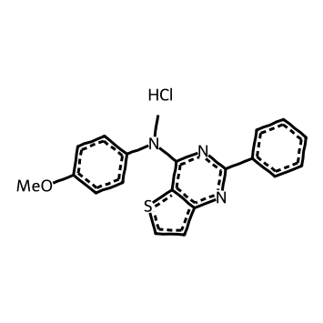 COc1ccc(N(C)c2nc(-c3ccccc3)nc3ccsc23)cc1.Cl